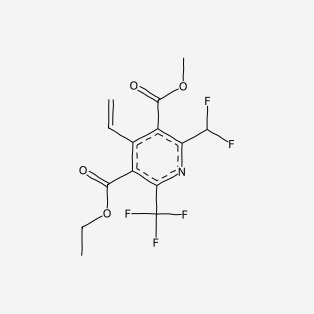 C=Cc1c(C(=O)OC)c(C(F)F)nc(C(F)(F)F)c1C(=O)OCC